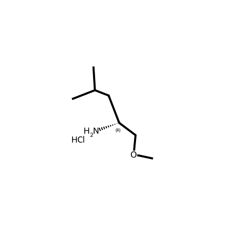 COC[C@H](N)CC(C)C.Cl